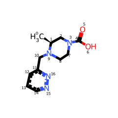 C[C@H]1CN(C(=O)O)CCN1Cc1cccnn1